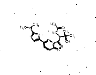 CN(C)c1ncc(-c2ccc3nnc(C(NC(=O)O)C(C)(C)C)n3n2)s1